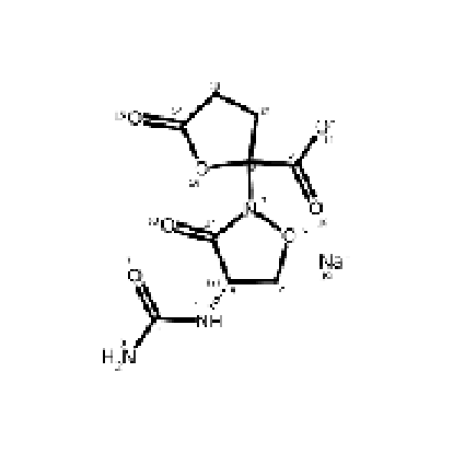 NC(=O)N[C@H]1CON(C2(C(=O)[O-])CCC(=O)O2)C1=O.[Na+]